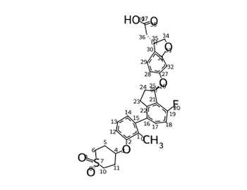 Cc1c(OC2CCS(=O)(=O)CC2)cccc1-c1ccc(F)c2c1CC[C@H]2Oc1ccc2c(c1)OC[C@H]2CC(=O)O